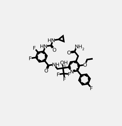 CCOc1c(CC(N)=O)cc([C@@](O)(CNC(=O)c2cc(F)c(F)c(NC(=O)NC3CC3)c2)C(F)(F)F)nc1-c1ccc(F)cc1